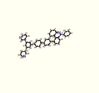 c1ccc(-c2nc3ccccc3c3c(-c4ccc(-c5ccc(-c6cc(-c7cccnc7)cc(-c7cccnc7)c6)cc5)cc4)cccc23)cc1